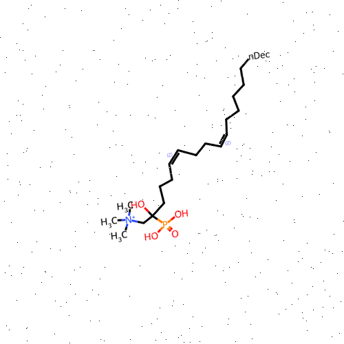 CCCCCCCCCCCCCCC/C=C\CC/C=C\CCCC(O)(C[N+](C)(C)C)P(=O)(O)O